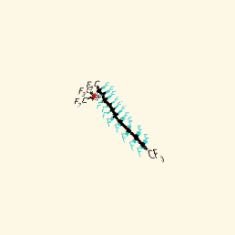 FC(F)(F)C(F)(F)C(F)(F)C(F)(F)C(F)(F)C(F)(F)C(F)(F)C(F)(F)C(F)(F)C(F)(F)C(F)(C(F)(F)F)[Si](C(F)(F)F)(C(F)(F)F)C(F)(F)F